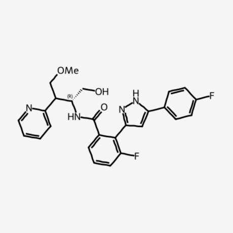 COCC(c1ccccn1)[C@H](CO)NC(=O)c1cccc(F)c1-c1cc(-c2ccc(F)cc2)[nH]n1